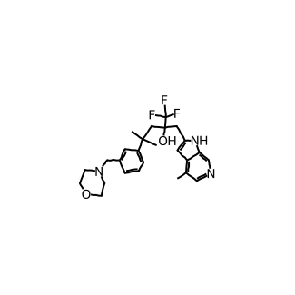 Cc1cncc2[nH]c(CC(O)(CC(C)(C)c3cccc(CN4CCOCC4)c3)C(F)(F)F)cc12